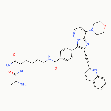 CC(N)C(=O)NC(CCCCNC(=O)c1ccc(-c2c(C#Cc3ccc4ccccc4n3)nc3c(N4CCOCC4)ccnn23)cc1)C(N)=O